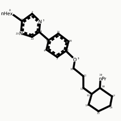 CCCCCCc1cnc(-c2ccc(OCCCC3CCCCC3CCC)cc2)cn1